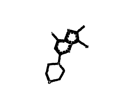 Cc1nc2c(I)cc(N3CCOCC3)nn2c1Br